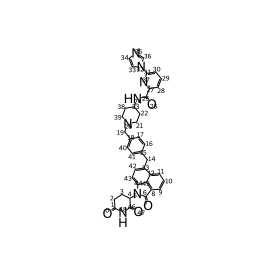 O=C1CCC(N2C(=O)c3cccc4c(Cc5ccc(CN6CCC(NC(=O)c7cccc(-n8ccnc8)n7)CC6)cc5)ccc2c34)C(=O)N1